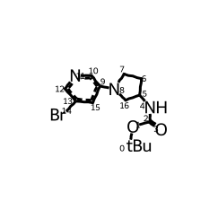 CC(C)(C)OC(=O)NC1CCN(c2cncc(Br)c2)C1